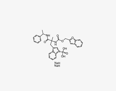 CC(NC(=O)C(C)(Cc1cn(P(=O)(O)O)c2ccccc12)NC(=O)OCc1cc2ccccc2o1)c1ccccc1.[NaH].[NaH]